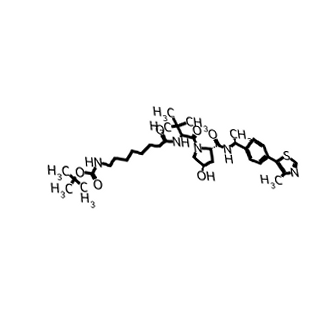 Cc1ncsc1-c1ccc([C@H](C)NC(=O)[C@@H]2C[C@@H](O)CN2C(=O)[C@@H](NC(=O)CCCCCCCNC(=O)OC(C)(C)C)C(C)(C)C)cc1